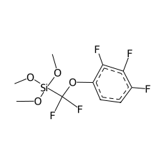 CO[Si](OC)(OC)C(F)(F)Oc1ccc(F)c(F)c1F